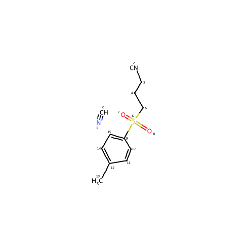 C#N.[C-]#[N+]CCCS(=O)(=O)c1ccc(C)cc1